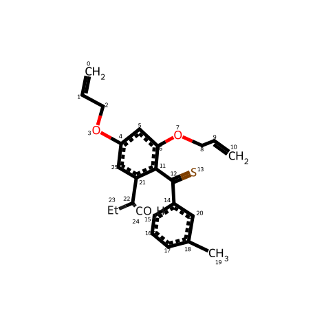 C=CCOc1cc(OCC=C)c(C(=S)c2cccc(C)c2)c(C(CC)C(=O)O)c1